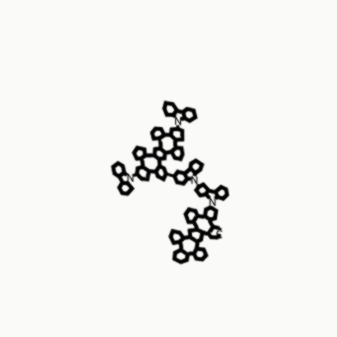 c1ccc2c(c1)c1ccccc1c1cc3c4ccccc4c4ccc(-n5c6ccccc6c6cc(-n7c8ccccc8c8cc(-c9ccc%10c%11ccc(-n%12c%13ccccc%13c%13ccccc%13%12)cc%11c%11ccccc%11c%11cc%12c%13ccccc%13c%13cc(-n%14c%15ccccc%15c%15ccccc%15%14)ccc%13c%13ccccc%13c%12cc%11c%10c9)ccc87)ccc65)cc4c4ccccc4c3cc1c1ccccc21